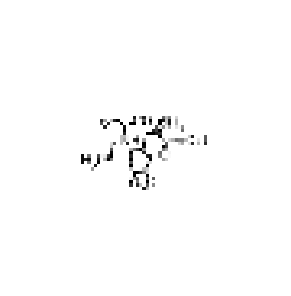 C=CCNC(CS)C(=O)O.CCCCCCCC[S+]([O-])C(C)Cc1ccc2c(c1)OCO2